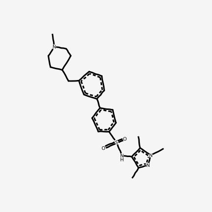 Cc1nn(C)c(C)c1NS(=O)(=O)c1ccc(-c2cccc(CC3CCN(C)CC3)c2)cc1